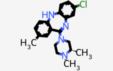 Cc1ccc2c(c1)C(N1CCN(C)[C@@H](C)C1)=Nc1cc(Cl)ccc1N2